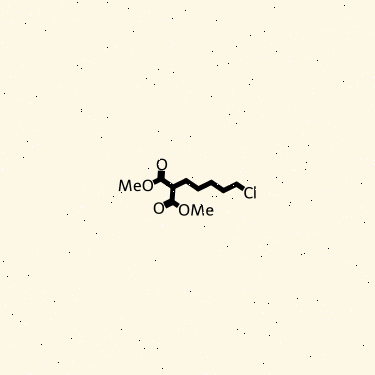 COC(=O)C(CCCCCCl)C(=O)OC